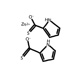 [O-]C(=S)c1ccc[nH]1.[O-]C(=S)c1ccc[nH]1.[Zn+2]